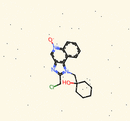 [O-][n+]1cc2nc(CCl)n(CC3(O)CCCCC3)c2c2ccccc21